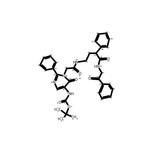 CC(C)(C)OC(=O)Nc1cnc(-c2ccccc2)n(CC(=O)NCCC(C(=O)NCC(=O)c2ccccc2)c2ccccc2)c1=O